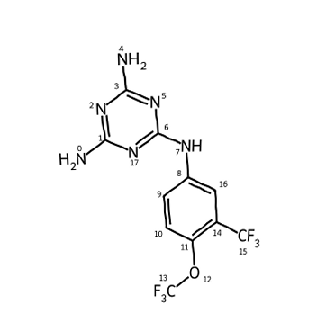 Nc1nc(N)nc(Nc2ccc(OC(F)(F)F)c(C(F)(F)F)c2)n1